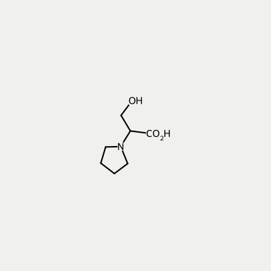 O=C(O)C(CO)N1CCCC1